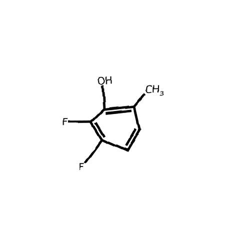 Cc1ccc(F)c(F)c1O